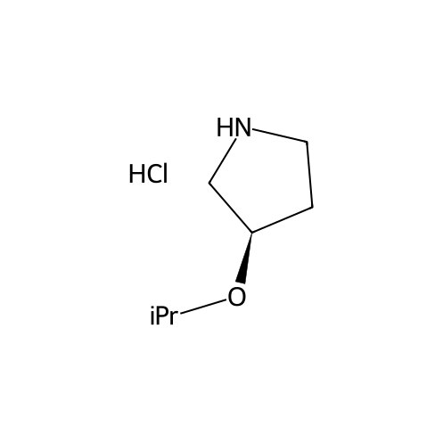 CC(C)O[C@@H]1CCNC1.Cl